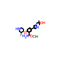 CC(C)(O)Cn1cc(-c2ccc(O[C@H]3CCNC[C@@H]3F)c(C(N)=O)c2)cn1.Cl